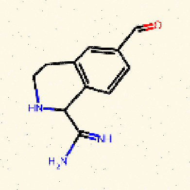 N=C(N)C1NCCc2cc([C]=O)ccc21